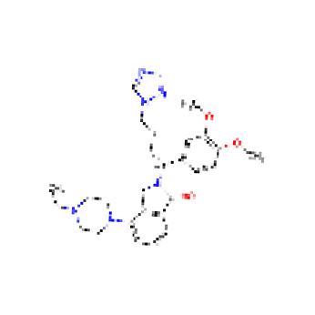 CCN1CCN(c2cccc3c2CN([C@H](CCCn2cncn2)c2ccc(OC)c(OC)c2)C3=O)CC1